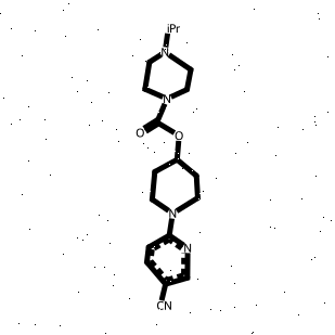 CC(C)N1CCN(C(=O)OC2CCN(c3ccc(C#N)cn3)CC2)CC1